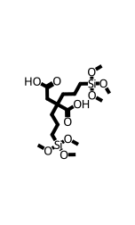 CO[Si](CCCC(CCC[Si](OC)(OC)OC)(CC(=O)O)C(=O)O)(OC)OC